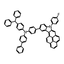 Fc1ccc(-n2c3ccc(-c4ccc(N(c5ccc(-c6ccccc6)cc5)c5ccc(C(c6ccccc6)c6ccccc6)cc5)cc4)cc3c3c4ccc5cccc6ccc(cc32)c4c65)cc1